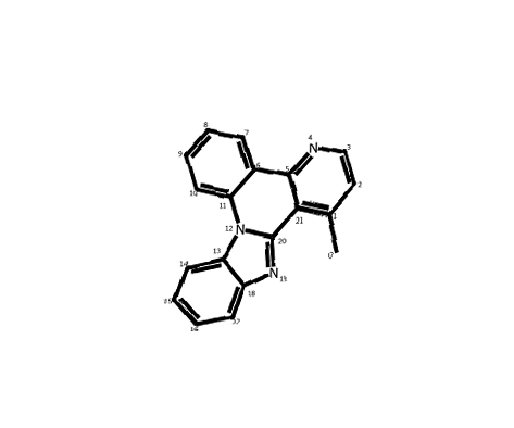 Cc1ccnc2c3ccccc3n3c4ccccc4nc3c12